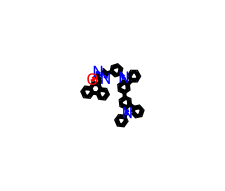 c1ccc(-n2c3ccccc3c3cc(-c4ccc5c(c4)c4ccccc4n5-c4cccc(-c5cnc6oc7c8ccccc8c8ccccc8c7c6n5)c4)ccc32)cc1